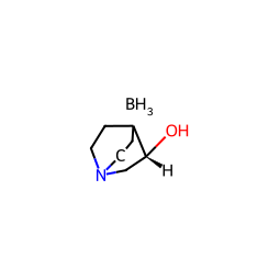 B.O[C@@H]1CN2CCC1CC2